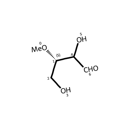 CO[C@@H](CO)C(O)C=O